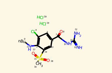 CCCCNc1c(Cl)cc(C(=O)NC(=N)N)cc1S(C)(=O)=O.Cl.Cl